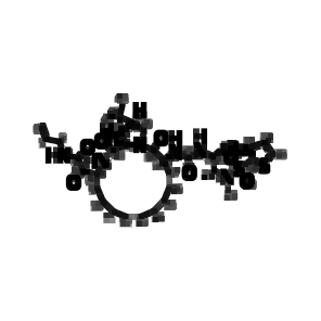 C=CCNC(=O)C(=O)[C@@H]1CCCCCCCCC[C@H](NC(=O)N[C@H](CN(C)S(=O)(=O)c2cccs2)C(C)(C)C)C(=O)N2C[C@H]3[C@@H]([C@H]2C(=O)N1)C3(C)C